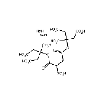 O=C(O)CC(CC(=O)O)(OC(=O)CC(C(=O)OC(CC(=O)O)(CC(=O)O)C(=O)O)S(=O)(=O)O)C(=O)O.[NaH].[NaH]